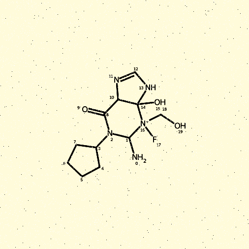 NC1N(C2CCCC2)C(=O)C2N=CNC2(O)[N+]1(F)CO